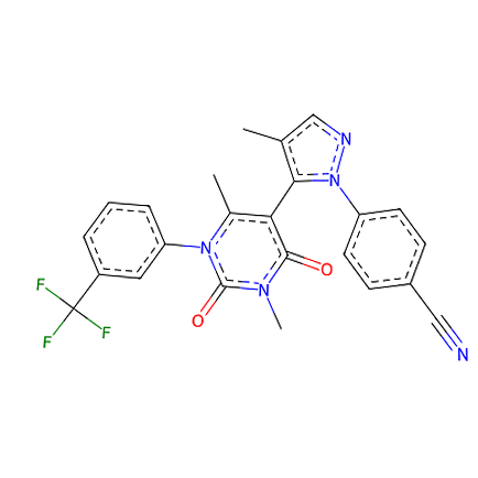 Cc1cnn(-c2ccc(C#N)cc2)c1-c1c(C)n(-c2cccc(C(F)(F)F)c2)c(=O)n(C)c1=O